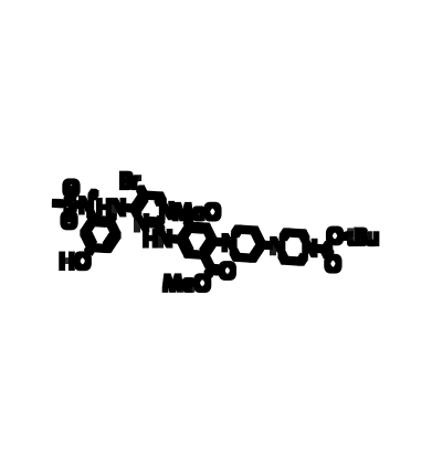 COC(=O)c1cc(Nc2ncc(Br)c(Nc3ccc(O)cc3N(C)S(C)(=O)=O)n2)c(OC)cc1N1CCC(N2CCN(C(=O)OC(C)(C)C)CC2)CC1